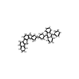 c1ccc(-c2c3ccccc3c(-c3ccc(-c4ccc5c(c4)sc4ccc6c7ccc8ccccc8c7sc6c45)cc3)c3ccccc23)cc1